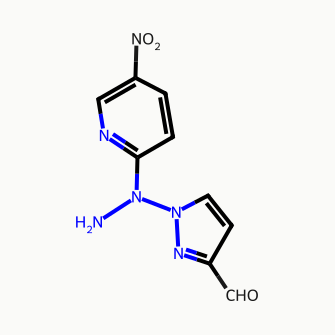 NN(c1ccc([N+](=O)[O-])cn1)n1ccc(C=O)n1